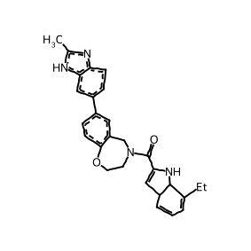 CCC1=CC=CC2C=C(C(=O)N3CCOc4ccc(-c5ccc6nc(C)[nH]c6c5)cc4C3)NC12